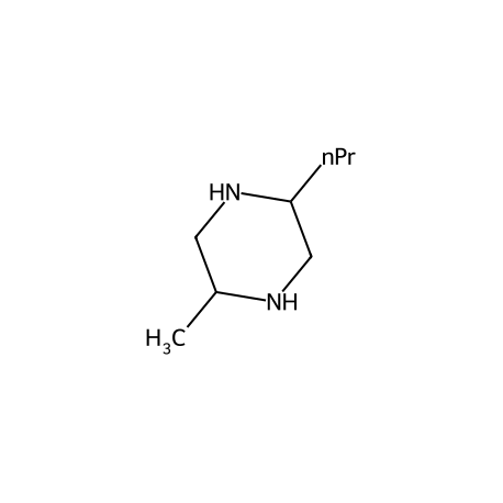 CCCC1CNC(C)CN1